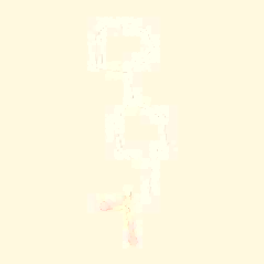 O=[SH](=O)Cc1ccc(-c2cc[c]cc2)cc1